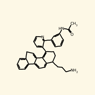 CC(=O)Nc1cccc(-c2ncccc2C2=c3c(ccc4c3=CCc3ccccc3-4)C(CCCN)CC2)c1